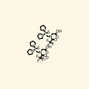 O.O=C(O)CN(CP(=S)(N1CCCC1)N1CCCC1)C(=O)C(F)(F)F.O=C(O)CN(CP(=S)(N1CCCC1)N1CCCC1)C(=O)C(F)(F)F